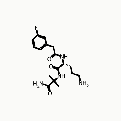 CC(C)(NC(=O)[C@@H](CCCN)NC(=O)Cc1cccc(F)c1)C(N)=O